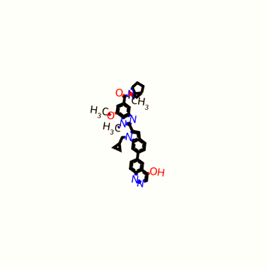 COc1cc(C(=O)N2CC3CCC2[C@@H]3C)cc2nc(-c3cc4ccc(-c5ccc6nncc(O)c6c5)cc4n3CC3CC3)n(C)c12